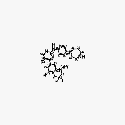 CC(C)N1CC(C)(C)Cc2c(F)cc(-c3nc(Nc4ccc(N5CCCNCC5)cn4)ncc3F)cc21